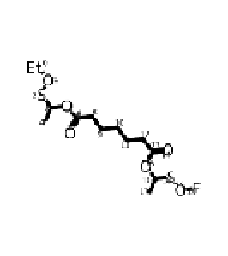 CCOSC(C)OC(=O)CCCCCC(=O)OC(C)SOF